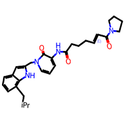 CC(C)Cc1cccc2cc(Cn3cccc(NC(=O)CCC/C=C/C(=O)N4CCCC4)c3=O)[nH]c12